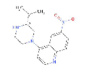 CC(C)[C@@H]1CN(c2ccnc3ccc([N+](=O)[O-])cc23)CCN1